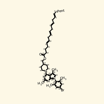 CCCCCC=CCC=CCC=CCC=CCCCC(=O)OCC1CCN(c2nc(C)nc3c2c(C)cn3-c2c(C)cc(Br)cc2C)CC1